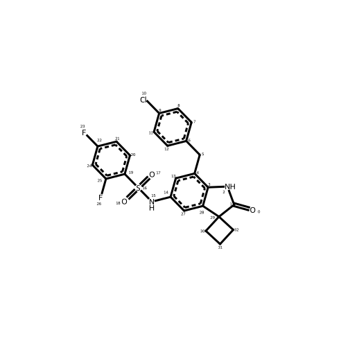 O=C1Nc2c(Cc3ccc(Cl)cc3)cc(NS(=O)(=O)c3ccc(F)cc3F)cc2C12CCC2